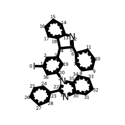 Ic1cc(C2C(c3ccccc3)=Nc3ccccc32)cc(-n2c(-c3ccccc3)nc3ccccc32)c1